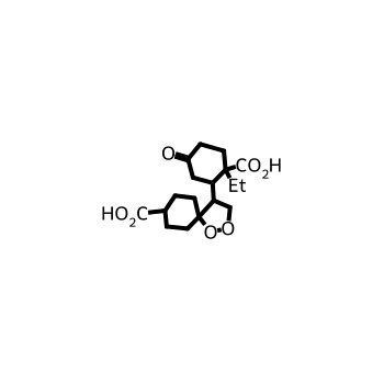 CCC1(C(=O)O)CCC(=O)CC1C1COOC12CCC(C(=O)O)CC2